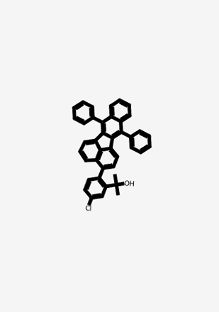 CC(C)(O)c1cc(Cl)ccc1-c1ccc2c3c(cccc13)-c1c-2c(-c2ccccc2)c2ccccc2c1-c1ccccc1